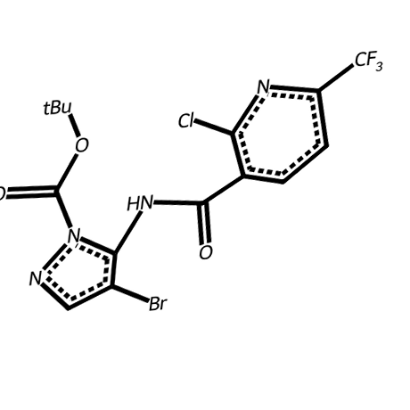 CC(C)(C)OC(=O)n1ncc(Br)c1NC(=O)c1ccc(C(F)(F)F)nc1Cl